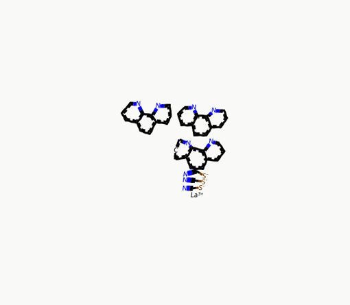 N#C[S-].N#C[S-].N#C[S-].[La+3].c1cnc2c(c1)ccc1cccnc12.c1cnc2c(c1)ccc1cccnc12.c1cnc2c(c1)ccc1cccnc12